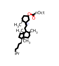 CCCCCCCCC(=O)O[C@H]1CC[C@@H](C)/C(=C\CC2C(C)CC[C@]3(C)[C@@H](CCCCC(C)C)CCC23C)C1